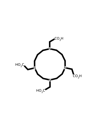 O=C(O)CN1CCCN(CC(=O)O)CCN(CC(=O)O)CCN(CC(=O)O)CCC1